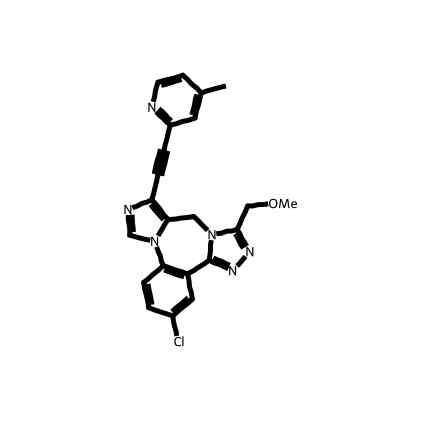 COCc1nnc2n1Cc1c(C#Cc3cc(C)ccn3)ncn1-c1ccc(Cl)cc1-2